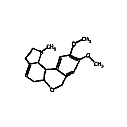 COc1cc2c(cc1OC)C1C(CC=C3CCN(C)C31)OC2